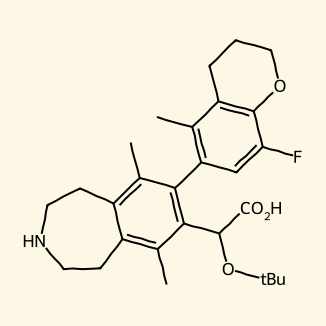 Cc1c(-c2c(C)c3c(c(C)c2C(OC(C)(C)C)C(=O)O)CCNCC3)cc(F)c2c1CCCO2